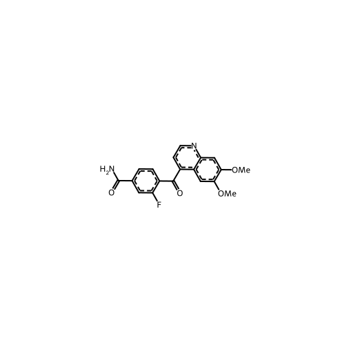 COc1cc2nccc(C(=O)c3ccc(C(N)=O)cc3F)c2cc1OC